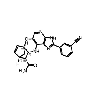 N#Cc1cccc(-c2nc3c(N[C@H]4[C@@H](C(N)=O)[C@@H]5C=C[C@H]4C5)c(Cl)cnc3[nH]2)c1